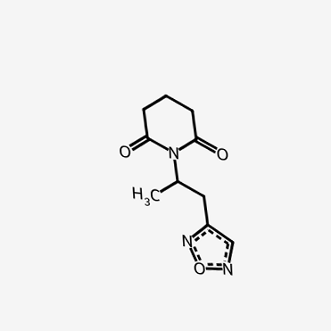 CC(Cc1cnon1)N1C(=O)CCCC1=O